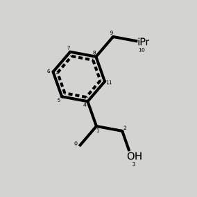 C[C](CO)c1cccc(CC(C)C)c1